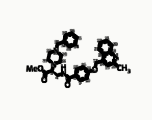 COC(=O)[C@H](CNC(=O)c1ccc(OCc2cc(C)nc3ccccc23)cc1)N1CCN(Cc2ccccc2)CC1